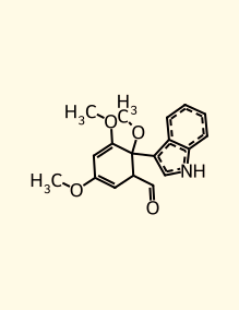 COC1=CC(C=O)C(OC)(c2c[nH]c3ccccc23)C(OC)=C1